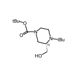 CC(C)(C)OC(=O)N1CCN(C(C)(C)C)[C@H](CO)C1